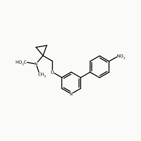 CN(C(=O)O)C1(COc2cncc(-c3ccc([N+](=O)[O-])cc3)c2)CC1